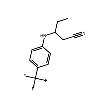 CCC(CC#N)Nc1ccc(C(F)(F)F)cc1